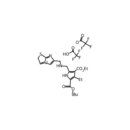 CCOC(=O)c1c(CNCC2=C[N+]3=CCSC3=N2)[nH]c(C(=O)OC(C)(C)C)c1CC.O=C(O)C(F)(F)F.O=C([O-])C(F)(F)F